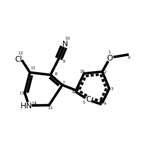 COc1cccc(C2=C(C#N)C(Cl)=CNC2)c1